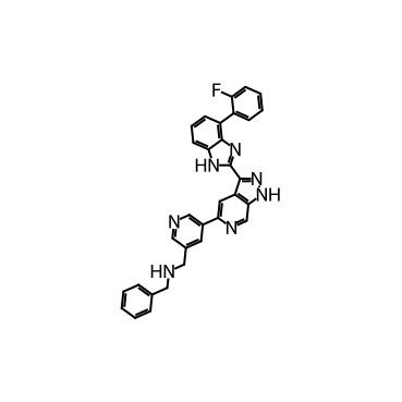 Fc1ccccc1-c1cccc2[nH]c(-c3n[nH]c4cnc(-c5cncc(CNCc6ccccc6)c5)cc34)nc12